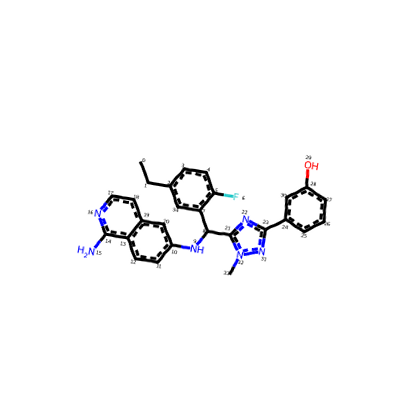 CCc1ccc(F)c(C(Nc2ccc3c(N)nccc3c2)c2nc(-c3cccc(O)c3)nn2C)c1